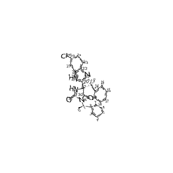 C[C@H](c1ccccc1)N1C(=O)N[C@@](Cc2ccccc2)(c2nc3ccc(Cl)cc3[nH]2)C1=O